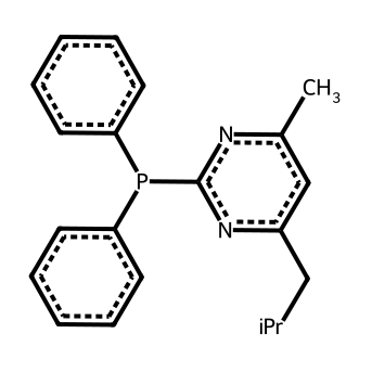 Cc1cc(CC(C)C)nc(P(c2ccccc2)c2ccccc2)n1